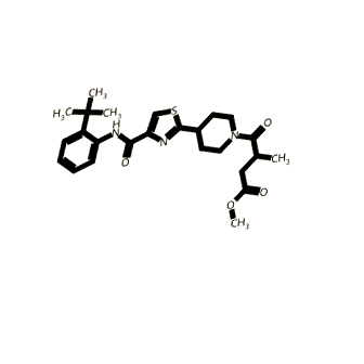 COC(=O)CC(C)C(=O)N1CCC(c2nc(C(=O)Nc3ccccc3C(C)(C)C)cs2)CC1